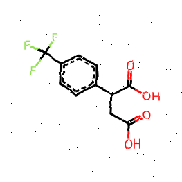 O=C(O)CC(C(=O)O)c1ccc(C(F)(F)F)cc1